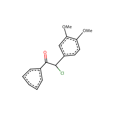 COc1ccc(C(Cl)C(=O)c2ccccc2)cc1OC